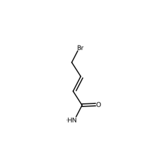 [NH]C(=O)/C=C/CBr